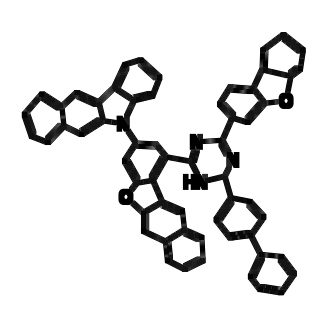 c1ccc(-c2ccc(C3N=C(c4ccc5c(c4)oc4ccccc45)N=C(c4cc(-n5c6ccccc6c6cc7ccccc7cc65)cc5oc6cc7ccccc7cc6c45)N3)cc2)cc1